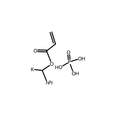 C=CC(=O)O[CH]([K])CCC.O=P(O)(O)O